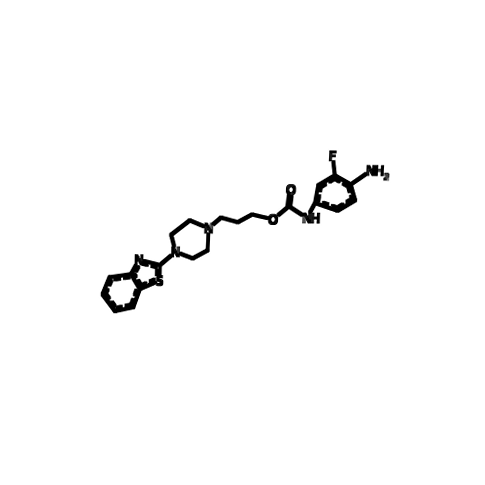 Nc1ccc(NC(=O)OCCCN2CCN(c3nc4ccccc4s3)CC2)cc1F